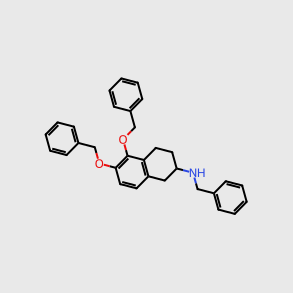 c1ccc(CNC2CCc3c(ccc(OCc4ccccc4)c3OCc3ccccc3)C2)cc1